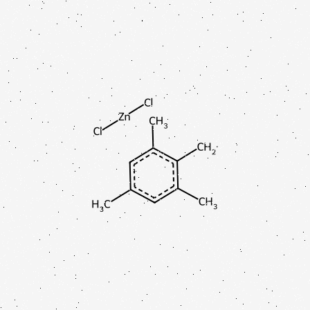 [CH2]c1c(C)cc(C)cc1C.[Cl][Zn][Cl]